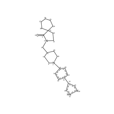 O=C1N(CC2CCN(c3ccc(-c4cn[nH]c4)cc3)CC2)CCC12CCCCC2